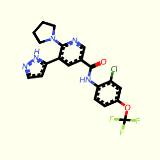 O=C(Nc1ccc(OC(F)(F)F)cc1Cl)c1cnc(N2CCCC2)c(-c2ccn[nH]2)c1